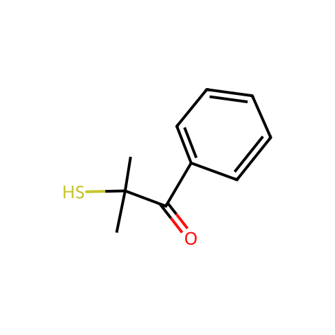 CC(C)(S)C(=O)c1ccccc1